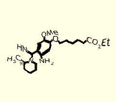 CCOC(=O)CCCCCOc1cc(N)c(C(=N)N2CCCC[C@H]2C)cc1OC